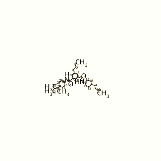 CCCCc1cc(C(=O)NC2CCC(CCCC)CC2)cc(C(=O)NC2CCC(C(C)(C)C)CC2)c1